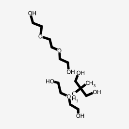 CC(C)(CO)CO.OCCOCCO.OCCOCCOCCO